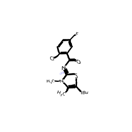 Cc1c(C(C)(C)C)s/c(=N\C(=O)c2cc(F)ccc2Cl)n1C